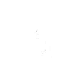 CC(C)=C/C=C/CC1CCC2C3CC=C4CC(O)CCC4(C)C3CCC12C